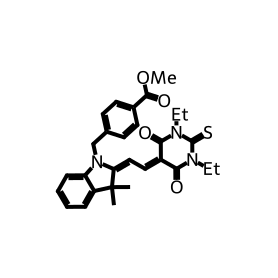 CCN1C(=O)C(=C/C=C2/N(Cc3ccc(C(=O)OC)cc3)c3ccccc3C2(C)C)C(=O)N(CC)C1=S